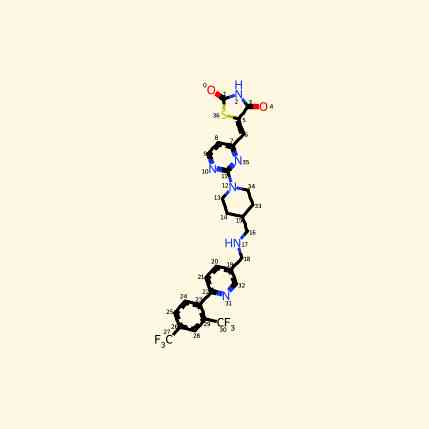 O=C1NC(=O)/C(=C/c2ccnc(N3CCC(CNCc4ccc(-c5ccc(C(F)(F)F)cc5C(F)(F)F)nc4)CC3)n2)S1